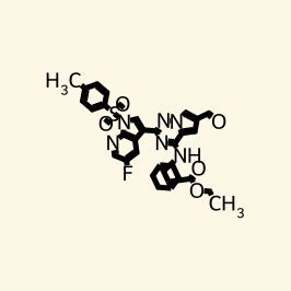 CCOC(=O)C1C2CCC(CC2)C1Nc1nc(-c2cn(S(=O)(=O)c3ccc(C)cc3)c3ncc(F)cc23)nn2cc(C=O)cc12